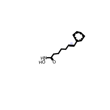 O=C(CCCC/C=C/c1ccccc1)NO